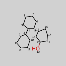 C1CCC(C2CCCCC2)CC1.OC1CCCCC1